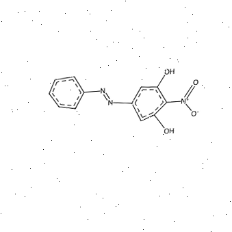 O=[N+]([O-])c1c(O)cc(N=Nc2ccccc2)cc1O